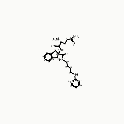 CC(=O)N[C@@H](CCC(N)=O)C(=O)NC1(C(=O)NCCCCNc2ncccn2)Cc2ccccc2C1